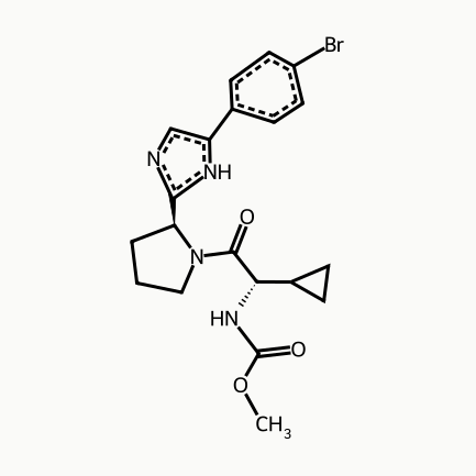 COC(=O)N[C@H](C(=O)N1CCC[C@H]1c1ncc(-c2ccc(Br)cc2)[nH]1)C1CC1